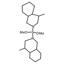 CO[Si](OC)(N1CC(C)C2CCCCC2C1)N1CC(C)C2CCCCC2C1